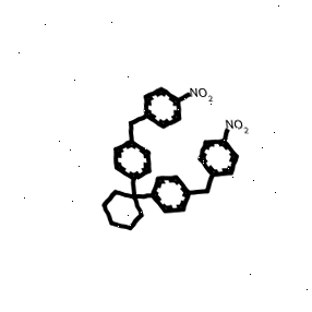 O=[N+]([O-])c1ccc(Cc2ccc(C3(c4ccc(Cc5ccc([N+](=O)[O-])cc5)cc4)CCCCC3)cc2)cc1